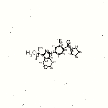 CC(F)(F)c1nn(-c2ccc(C(=O)N3CCCC3)c(F)c2)c2c1COCC2